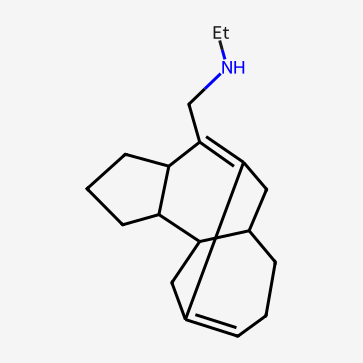 CCNCC1=C2CC3CCC=C2CC3C2CCCC12